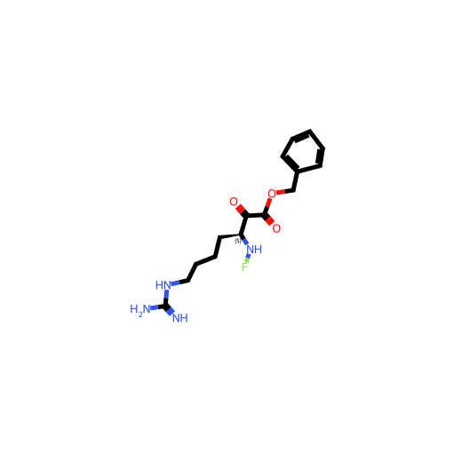 N=C(N)NCCCC[C@H](NF)C(=O)C(=O)OCc1ccccc1